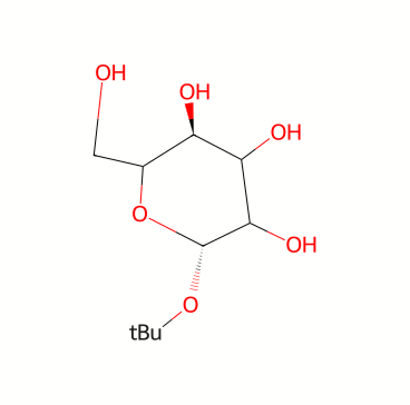 CC(C)(C)O[C@@H]1OC(CO)[C@@H](O)C(O)C1O